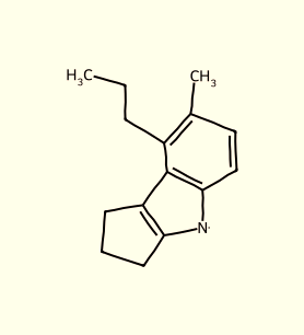 CCCc1c(C)ccc2c1C1=C(CCC1)[N]2